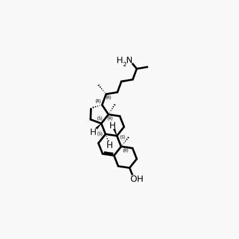 CC(N)CCC[C@@H](C)[C@H]1CC[C@H]2[C@@H]3CC=C4CC(O)CC[C@]4(C)[C@H]3CC[C@]12C